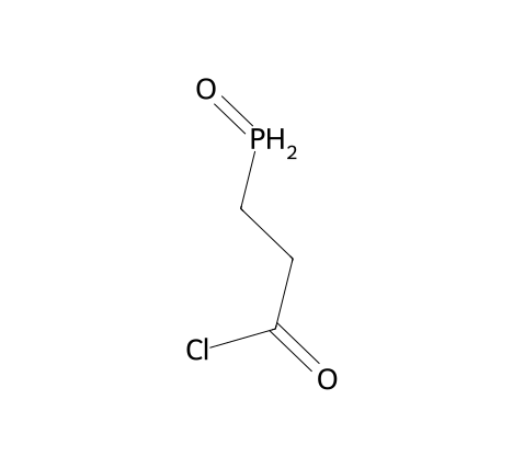 O=[PH2]CCC(=O)Cl